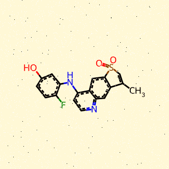 CC1=CS(=O)(=O)c2cc3c(Nc4cc(O)ccc4F)ccnc3cc21